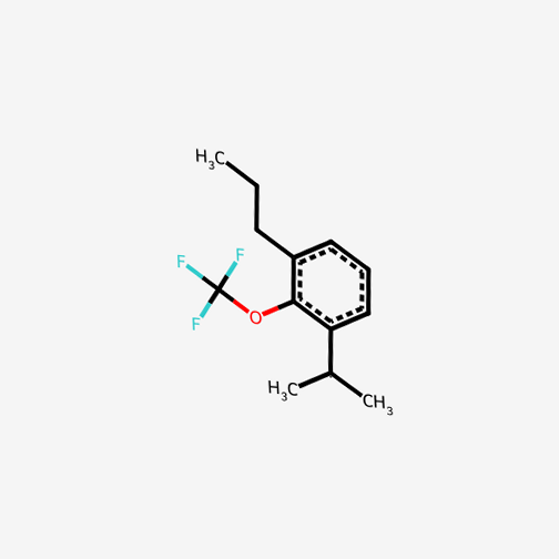 CCCc1cccc([C](C)C)c1OC(F)(F)F